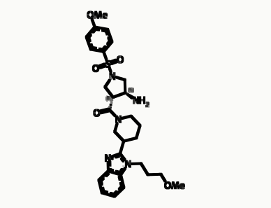 COCCCn1c(C2CCCN(C(=O)[C@@H]3CN(S(=O)(=O)c4ccc(OC)cc4)C[C@H]3N)C2)nc2ccccc21